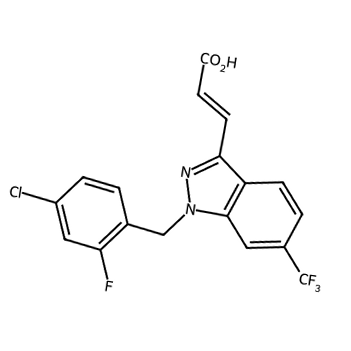 O=C(O)/C=C/c1nn(Cc2ccc(Cl)cc2F)c2cc(C(F)(F)F)ccc12